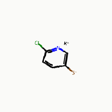 [K+].[S-]c1ccc(Cl)nc1